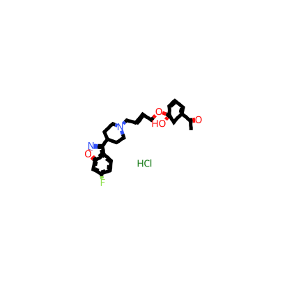 CC(=O)C1=CC=CC(O)(OCC=CCN2CCC(c3noc4cc(F)ccc34)CC2)C1.Cl